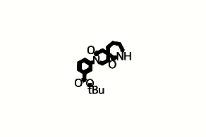 CC(C)(C)OC(=O)c1cccc(N2CCC3(CCCCNC3=O)CC2=O)c1